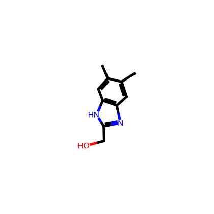 Cc1cc2nc(CO)[nH]c2cc1C